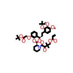 C=CC(=O)OCC(C)(C)C(=O)C(=O)N1CCCC[C@H]1C(=O)O[C@H](CCc1ccc(OC)c(OC)c1OC(C)(C)C)c1cccc(OCC(=O)OC(C)(C)C)c1